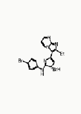 Br.CCc1nc2ncccn2c1-c1csc(Nc2ccc(Br)cc2)n1